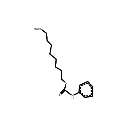 CCCCCCCCCCCCCCCCCCSC(=S)Nc1ccccc1